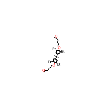 CCc1cc(C(C)(C)c2cc(CC)c(OCCCCC3CO3)c(CC)c2)cc(CC)c1OCCCCC1CO1